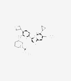 COc1cc2ncc(-c3ccc(C4COC4)c(N[C@@H]4CCCN(C(=O)OC(C)(C)C)C4)n3)n2nc1C1CC1